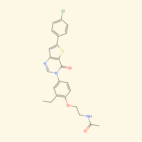 CCc1cc(-n2cnc3cc(-c4ccc(Cl)cc4)sc3c2=O)ccc1OCCNC(C)=O